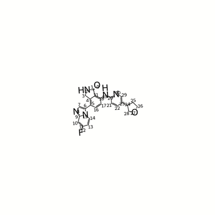 O=C1NCc2c(-c3cnc4cc(F)ccn34)ccc(Nc3ccc(C4CCOC4)cn3)c21